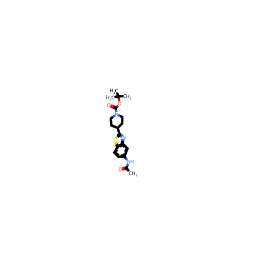 CC(=O)Nc1ccc2sc(C3CCN(C(=O)OC(C)(C)C)CC3)nc2c1